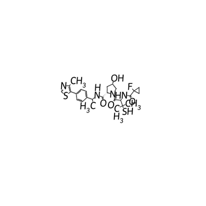 Cc1ncsc1-c1ccc(C(C)NC(=O)[C@@H]2C[C@@H](O)CN2C(=O)C(NC(=O)C2(F)CC2)C(C)(C)S)cc1